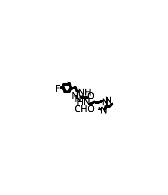 CN(C)c1ccnn1CCCC(C=O)NC(=O)c1nnc(Cc2ccc(F)cc2)[nH]1